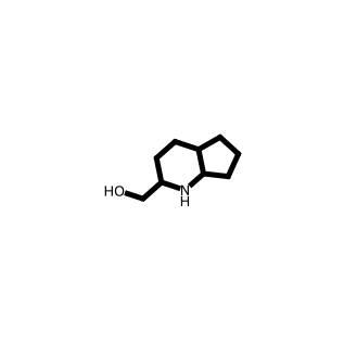 OCC1CCC2CCCC2N1